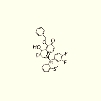 O=c1ccn2c(c1OCc1ccccc1)C(O)C1(CC1)CN2[C@@H]1c2ccccc2SCc2c1ccc(F)c2F